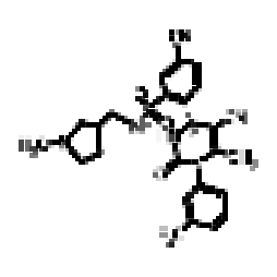 CC1=C(C#N)[C@@H](c2ccc(C#N)cc2S(=O)(=O)NCC2CCN(C)C2)NC(=O)N1c1cccc(C(F)(F)F)c1